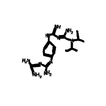 CC(C)N(/C(N)=N/C(=N)Nc1ccc(/N=C(/N)N=C(N)N)cc1)C(C)C